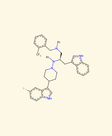 CC(=O)N(Cc1ccccc1C(F)(F)F)C[C@@H](Cc1c[nH]c2ccccc12)N(C(C)=O)N1CCC(c2c[nH]c3ccc(F)cc23)CC1